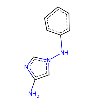 Nc1cn(Nc2ccccc2)cn1